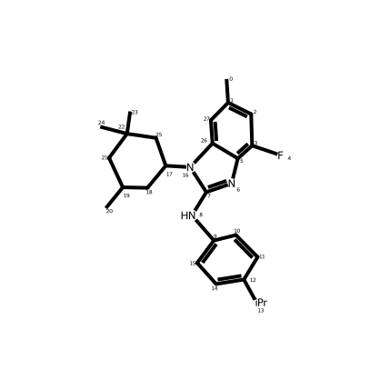 Cc1cc(F)c2nc(Nc3ccc(C(C)C)cc3)n(C3CC(C)CC(C)(C)C3)c2c1